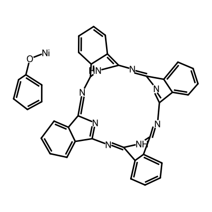 [Ni][O]c1ccccc1.c1ccc2c(c1)-c1nc-2nc2[nH]c(nc3nc(nc4[nH]c(n1)c1ccccc41)-c1ccccc1-3)c1ccccc21